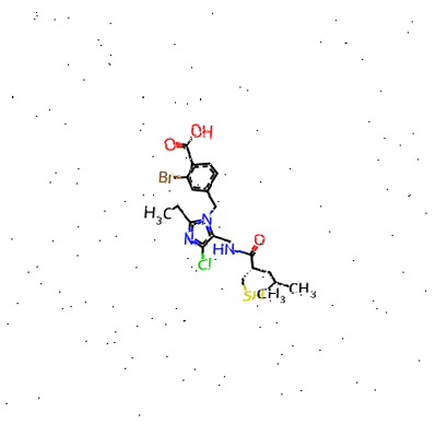 CCc1nc(Cl)c(CNC(=O)[C@@H](CS)CC(C)C)n1Cc1ccc(C(=O)O)c(Br)c1